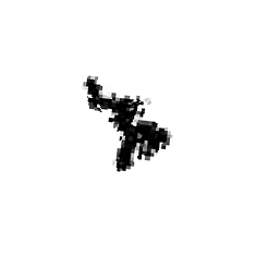 COc1cc(N2CCC(N(C)C)CC2)c(C2CC2)cc1Nc1ncc(Br)c(Nc2ccc3ncc(COc4cc(N5CCC(N6CCN(C)CC6)CC5)c(Cl)cc4Nc4ncc(Br)c(Nc5ccc6nccnc6c5P(C)(C)=O)n4)nc3c2P(C)(C)=O)n1